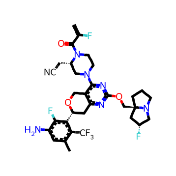 C=C(F)C(=O)N1CCN(c2nc(OC[C@@]34CCCN3C[C@H](F)C4)nc3c2CO[C@@H](c2c(F)c(N)cc(C)c2C(F)(F)F)C3)C[C@@H]1CC#N